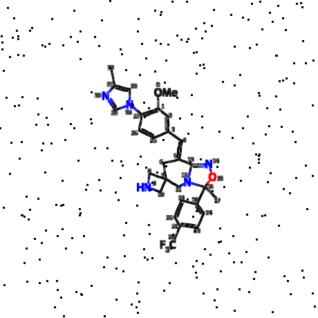 COc1cc(/C=C2\CC3(CNC3)CN3C2=NOC3(C)c2ccc(C(F)(F)F)cc2)ccc1-n1cnc(C)c1